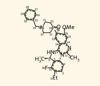 CCc1cccc([C@@H](C)Nc2nc(C)nc3cc(OC)c(P4(=O)CCN(Cc5ccccc5)CC4)cc23)c1F